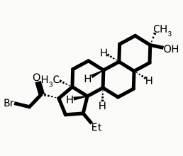 CCC1C[C@H](C(=O)CBr)[C@@]2(C)CC[C@H]3[C@@H](CC[C@@H]4C[C@](C)(O)CC[C@@H]43)[C@H]12